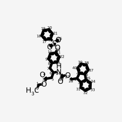 CCOC(=O)CC(Cc1ccc(OS(=O)(=O)c2ccccc2)cc1)NC(=O)OCC1c2ccccc2-c2ccccc21